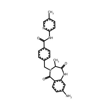 Cc1ccc(NC(=O)c2ccc(CN3C(=O)c4ccc(N)cc4NC(=O)C3C)cc2)nc1